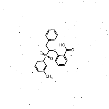 Cc1cccc(S(=O)(=O)C(Cc2ccccc2)Oc2ccccc2C(=O)O)c1